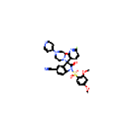 COc1ccc(S(=O)(=O)N2C(=O)C(c3ccc(F)nc3F)(N3CCN(c4ccncc4)CC3)c3cc(C#N)ccc32)c(OC)c1